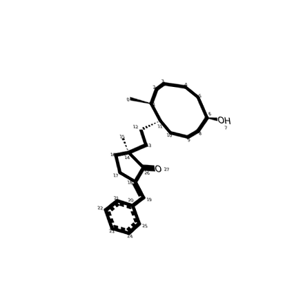 C[C@H]1CCCC[C@@H](O)CCC[C@@H]1CC[C@]1(C)CC/C(=C\c2ccccc2)C1=O